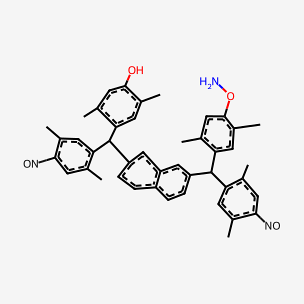 Cc1cc(C(c2ccc3ccc(C(c4cc(C)c(N=O)cc4C)c4cc(C)c(ON)cc4C)cc3c2)c2cc(C)c(N=O)cc2C)c(C)cc1O